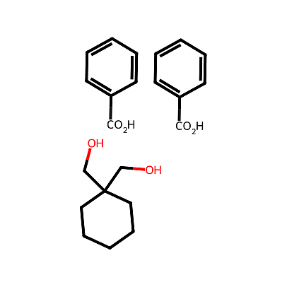 O=C(O)c1ccccc1.O=C(O)c1ccccc1.OCC1(CO)CCCCC1